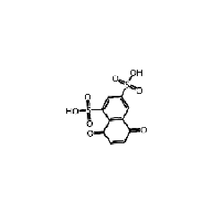 O=C1C=CC(=O)c2c1cc(S(=O)(=O)O)cc2S(=O)(=O)O